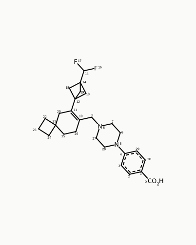 O=C(O)c1ccc(N2CCN(CC3=C(C45CC(C(F)F)(C4)C5)CC4(CCC4)CC3)CC2)cc1